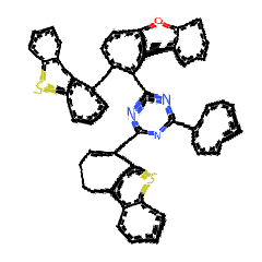 C1=C(c2nc(-c3ccccc3)nc(-c3c(-c4cccc5sc6ccccc6c45)ccc4oc5ccccc5c34)n2)c2sc3ccccc3c2CC1